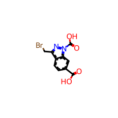 O=C(O)c1ccc2c(CBr)nn(C(=O)O)c2c1